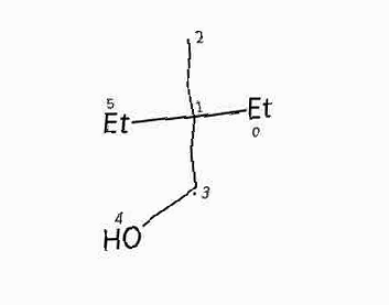 CCC(C)([CH]O)CC